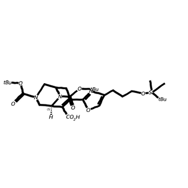 CC(C)(C)OC(=O)N1CC2CC(c3nc(CCCO[Si](C)(C)C(C)(C)C)co3)=C(C(=O)O)[C@@H](C1)N2C(=O)OC(C)(C)C